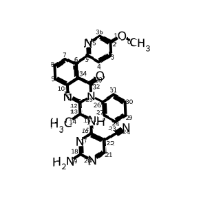 COc1ccc(-c2cccc3nc(C(C)Nc4nc(N)ncc4C#N)n(-c4ccccc4)c(=O)c23)nc1